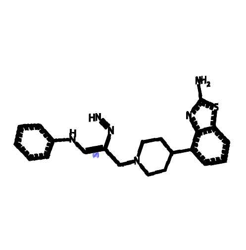 N=N/C(=C\Nc1ccccc1)CN1CCC(c2cccc3sc(N)nc23)CC1